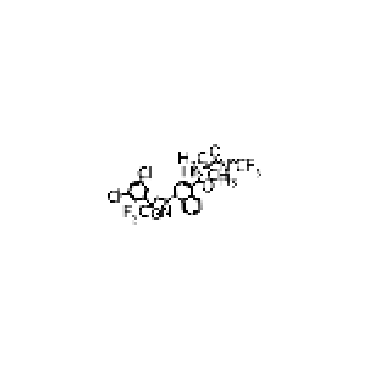 CC(C)(NC(=O)c1ccc(C2=NOC(c3cc(Cl)cc(Cl)c3)(C(F)(F)F)C2)c2ccccc12)C(=O)NCC(F)(F)F